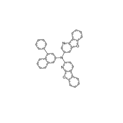 c1ccc(-c2cc(N(c3cnc4c(c3)oc3ccccc34)c3ccc4c(n3)oc3ccccc34)cc3ccccc23)cc1